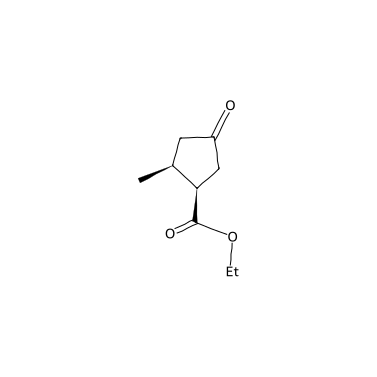 CCOC(=O)[C@@H]1CC(=O)C[C@@H]1C